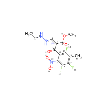 CCNN/C=C(/C(=O)OC)C(=O)c1c(F)c(C)c(F)c(F)c1[N+](=O)[O-]